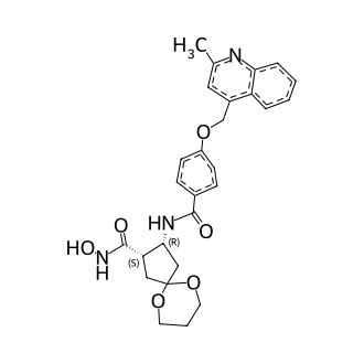 Cc1cc(COc2ccc(C(=O)N[C@@H]3CC4(C[C@@H]3C(=O)NO)OCCCO4)cc2)c2ccccc2n1